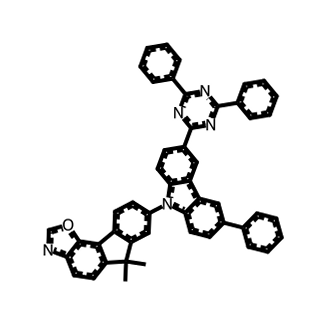 CC1(C)c2cc(-n3c4ccc(-c5ccccc5)cc4c4cc(-c5nc(-c6ccccc6)nc(-c6ccccc6)n5)ccc43)ccc2-c2c1ccc1ncoc21